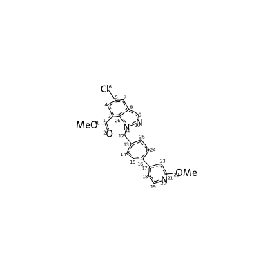 COC(=O)c1cc(Cl)cc2cnn(Cc3ccc(-c4ccnc(OC)c4)cc3)c12